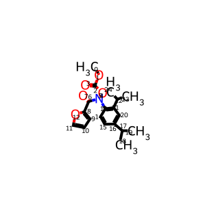 COC(=O)ON(C(=O)c1ccco1)c1ccc(C(C)C)cc1C(C)C